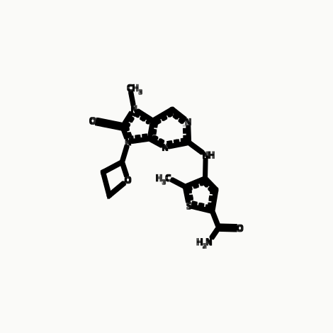 Cc1sc(C(N)=O)cc1Nc1ncc2c(n1)n(C1CCO1)c(=O)n2C